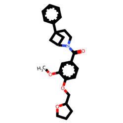 COc1cc(C(=O)N2CCC3(c4ccccc4)CC2C3)ccc1OCC1CCCO1